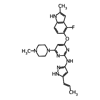 C/C=C/c1cc(Nc2nc(Oc3ccc4[nH]c(C)cc4c3F)cc(N3CCN(C)CC3)n2)n[nH]1